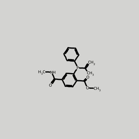 C=C(C)P(c1ccccc1)c1cc(C(=O)NC)ccc1C(=O)OC